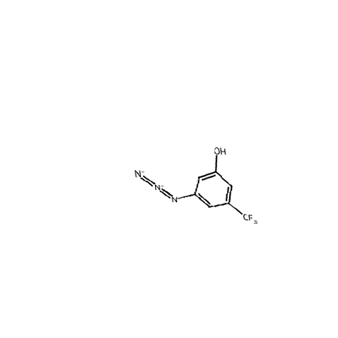 [N-]=[N+]=Nc1cc(O)cc(C(F)(F)F)c1